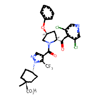 C[C@]1(C(=O)O)CC[C@H](n2ncc(C(=O)N3C[C@@H](Oc4ccccc4)C[C@@H]3C(=O)c3c(Cl)cncc3Cl)c2C(F)(F)F)CC1